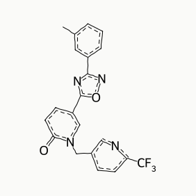 Cc1cccc(-c2noc(-c3ccc(=O)n(Cc4ccc(C(F)(F)F)nc4)c3)n2)c1